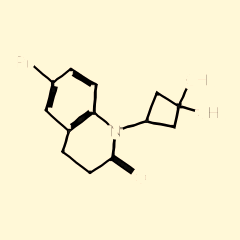 CC(C)c1ccc2c(c1)CCC(=O)N2C1CC(C)(C)C1